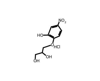 Cl.O=[N+]([O-])c1ccc(OCC(O)CO)c(O)c1